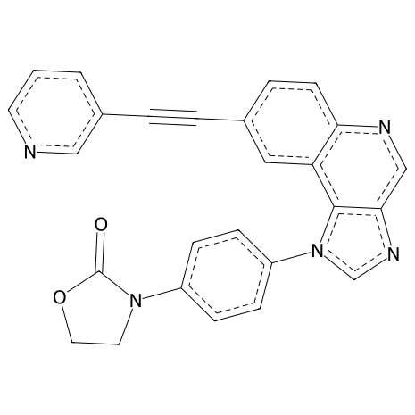 O=C1OCCN1c1ccc(-n2cnc3cnc4ccc(C#Cc5cccnc5)cc4c32)cc1